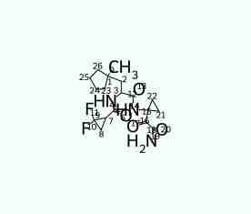 CC1(CC(NC(=O)C2CC2(F)F)C(=O)NC2(C(=O)C(N)=O)CC2)CCCC1